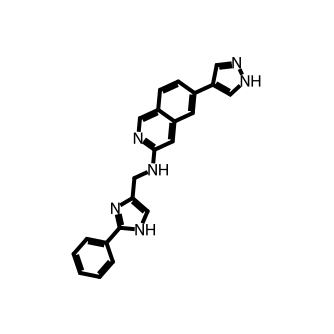 c1ccc(-c2nc(CNc3cc4cc(-c5cn[nH]c5)ccc4cn3)c[nH]2)cc1